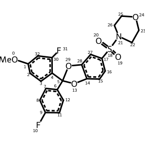 COc1ccc(C2(c3ccc(F)cc3)Oc3ccc(S(=O)(=O)N4CCOCC4)cc3O2)c(F)c1